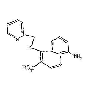 CCOC(=O)c1cnc2c(N)cccc2c1NCc1ccccn1